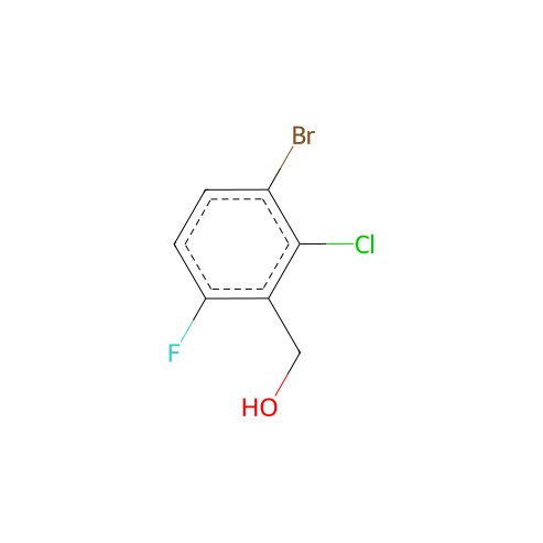 OCc1c(F)ccc(Br)c1Cl